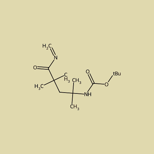 C=NC(=O)C(C)(C)CC(C)(C)NC(=O)OC(C)(C)C